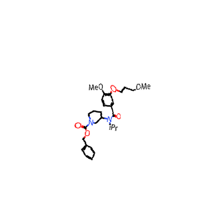 COCCCOc1cc(C(=O)N(C(C)C)C2CCCN(C(=O)OCc3ccccc3)C2)ccc1OC